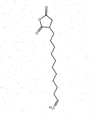 C=CCCCCCCCCCCC1CC(=O)OC1=O